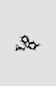 Fc1ccc2c(c1)c1ccccc1n2CC1CO1